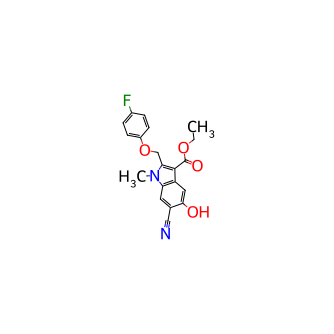 CCOC(=O)c1c(COc2ccc(F)cc2)n(C)c2cc(C#N)c(O)cc12